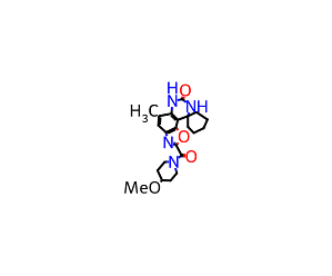 COC1CCN(C(=O)c2nc3cc(C)c4c(c3o2)C2(CCCCC2)NC(=O)N4)CC1